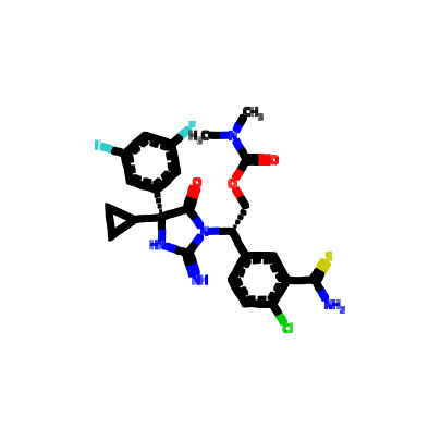 CN(C)C(=O)OC[C@H](c1ccc(Cl)c(C(N)=S)c1)N1C(=N)N[C@@](c2cc(F)cc(F)c2)(C2CC2)C1=O